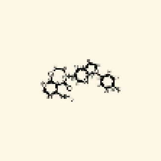 Nc1ncnc2c1C(=O)N(c1cnc3c(ccn3-c3ccc(F)cc3)c1)CCO2